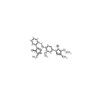 COc1c(Br)c(-c2ccc(OCc3ccccc3-n3nnn(C)c3=O)c(C)c2)nn1C